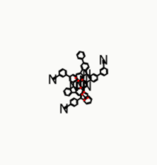 N#Cc1ccc(-c2cccc(-c3nc(-c4ccc(-c5cccc(C#N)c5)cc4-n4c5ccccc5c5cc(-c6ccccc6)ccc54)nc(-c4ccc(-c5cccc(C#N)c5)cc4-n4c5ccccc5c5cc(-c6ccccc6)ccc54)n3)c2)cc1